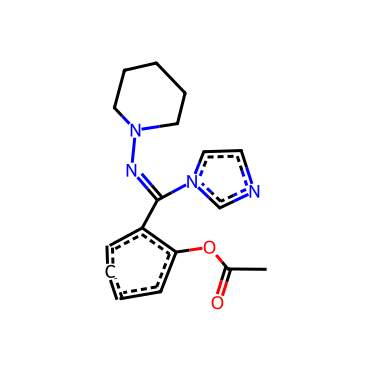 CC(=O)Oc1ccccc1/C(=N/N1CCCCC1)n1ccnc1